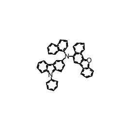 c1ccc(-n2c3ccccc3c3cc(N(c4cccc5ccccc45)c4cc5c6ccccc6oc5c5ccccc45)ccc32)cc1